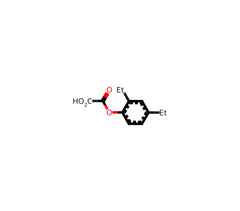 CCc1ccc(OC(=O)C(=O)O)c(CC)c1